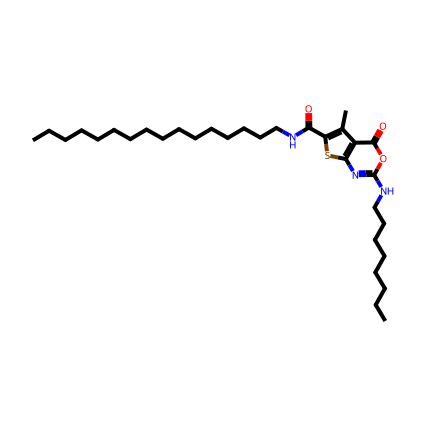 CCCCCCCCCCCCCCCCNC(=O)c1sc2nc(NCCCCCCCC)oc(=O)c2c1C